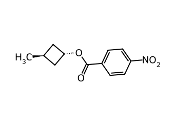 C[C@H]1C[C@H](OC(=O)c2ccc([N+](=O)[O-])cc2)C1